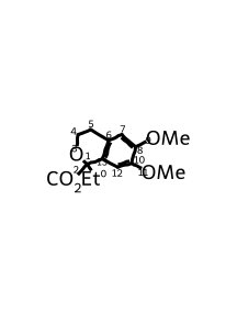 CCOC(=O)C1(C)OCCc2cc(OC)c(OC)cc21